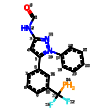 O=CNc1cc(-c2cccc(C(F)(F)P)c2)n(-c2ccccc2)n1